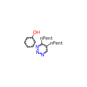 CCCCCc1cnnnc1CCCCC.Oc1ccccc1